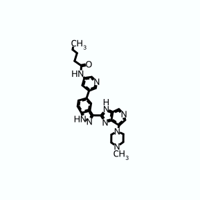 CCCCC(=O)Nc1cncc(-c2ccc3[nH]nc(-c4nc5c(N6CCN(C)CC6)cncc5[nH]4)c3c2)c1